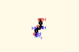 NC(=O)Nc1ccc2c(c1)/C(=C/c1cc(-c3ccc(C(=O)O)cc3)c[nH]1)C(=O)N2